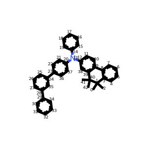 CC1(C)c2ccccc2-c2ccc(N(c3ccccc3)c3ccc(-c4cccc(-c5ccccc5)c4)cc3)cc2C1(C)C